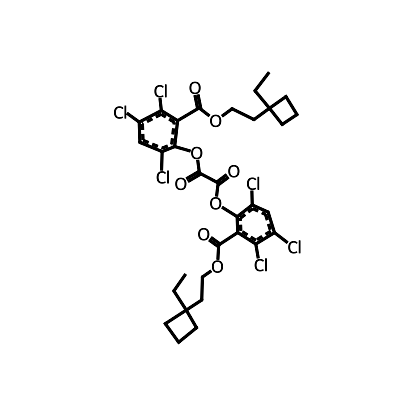 CCC1(CCOC(=O)c2c(Cl)c(Cl)cc(Cl)c2OC(=O)C(=O)Oc2c(Cl)cc(Cl)c(Cl)c2C(=O)OCCC2(CC)CCC2)CCC1